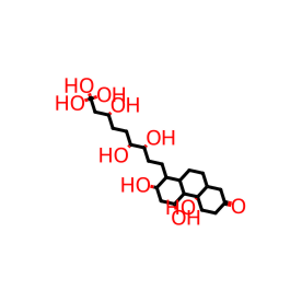 O=C1CCC2(O)C(CCC3C(CCC(O)C(O)CCC(O)CC(O)(O)O)C(O)CC(O)C32)C1